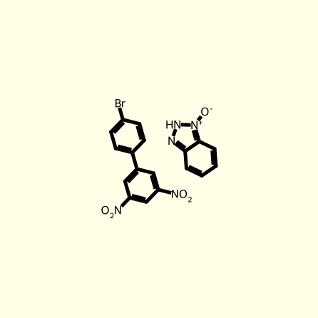 O=[N+]([O-])c1cc(-c2ccc(Br)cc2)cc([N+](=O)[O-])c1.[O-][n+]1[nH]nc2ccccc21